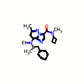 CCN(B(C)Cc1ccccc1)c1cc(C)nn2c(C(=O)N(C)C3CCC3)cnc12